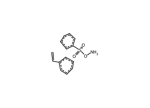 C=Cc1ccccc1.NOS(=O)(=O)c1ccccc1